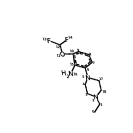 CCN1CCN(c2cccc(OC(F)F)c2N)CC1